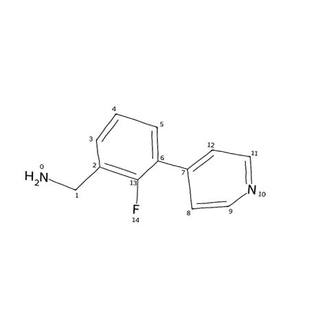 NCc1cccc(-c2ccncc2)c1F